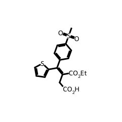 CCOC(=O)/C(CC(=O)O)=C(\c1ccc(S(C)(=O)=O)cc1)c1cccs1